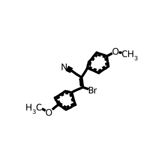 COc1ccc(/C(Br)=C(\C#N)c2ccc(OC)cc2)cc1